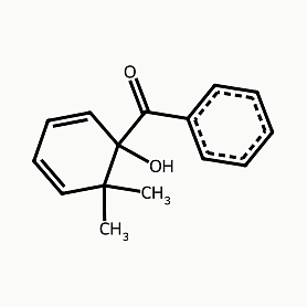 CC1(C)C=CC=CC1(O)C(=O)c1ccccc1